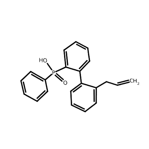 C=CCc1ccccc1-c1ccccc1P(=O)(O)c1ccccc1